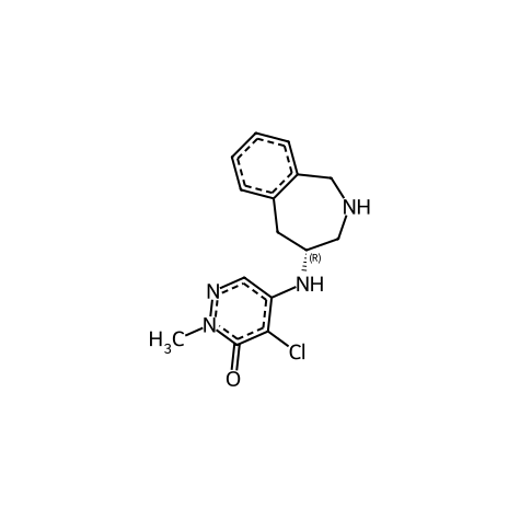 Cn1ncc(N[C@H]2CNCc3ccccc3C2)c(Cl)c1=O